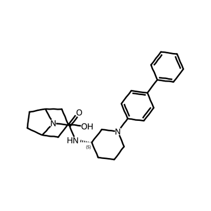 O=C(N[C@H]1CCCN(c2ccc(-c3ccccc3)cc2)C1)N1C2CCC1CC(O)C2